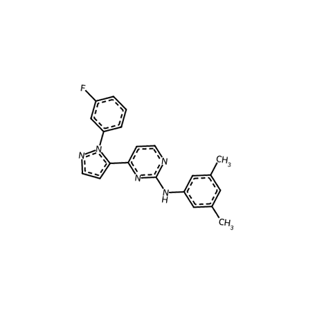 Cc1cc(C)cc(Nc2nccc(-c3ccnn3-c3cccc(F)c3)n2)c1